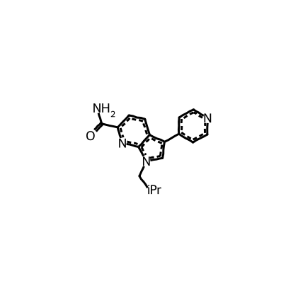 CC(C)Cn1cc(-c2ccncc2)c2ccc(C(N)=O)nc21